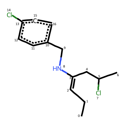 CC/C=C(\CC(C)Cl)NCc1ccc(Cl)cc1